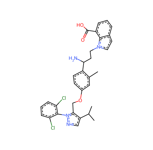 Cc1cc(OCc2c(C(C)C)cnn2-c2c(Cl)cccc2Cl)ccc1C(N)CCn1ccc2cccc(C(=O)O)c21